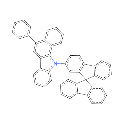 c1ccc(-c2cc3c4ccccc4n(-c4ccc5c(c4)C4(c6ccccc6-c6ccccc64)c4ccccc4-5)c3c3ccccc23)cc1